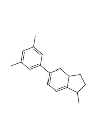 Cc1cc(C)cc(C2=CC=C3C(C)CCC3C2)c1